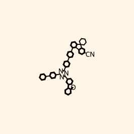 N#Cc1ccc2c(c1)C1(CCCCC1)c1cccc(-c3ccc(-c4ccc(-c5nc(-c6ccc(-c7ccccc7)cc6)nc(-c6ccc7oc8ccccc8c7c6)n5)cc4)cc3)c1-2